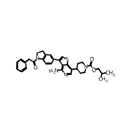 CC(C)COC(=O)N1CCC(c2cnc(N)c3c(-c4ccc5c(c4)CCN5C(=O)Cc4ccccc4)csc23)CC1